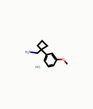 COc1cccc(C2(CN)CCC2)c1.Cl